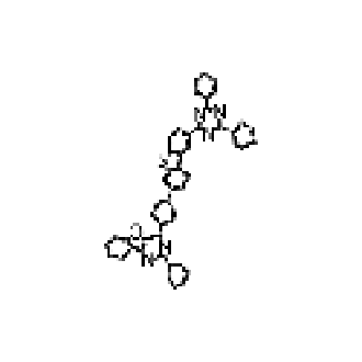 c1ccc(-c2nc(-c3ccccc3)nc(-c3ccc4sc5cc(-c6ccc(-c7nc(-c8ccccc8)nc8c7oc7ccccc78)cc6)ccc5c4c3)n2)cc1